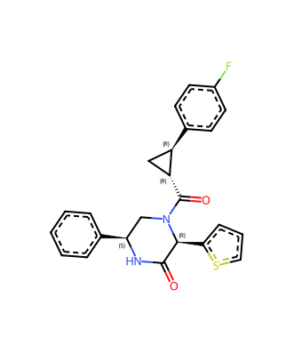 O=C1N[C@@H](c2ccccc2)CN(C(=O)[C@@H]2C[C@H]2c2ccc(F)cc2)[C@H]1c1cccs1